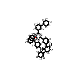 c1ccc(-c2ccc(-n3c4ccccc4c4ccc5oc6ccc(-c7nc(-c8ccccc8)nc(-c8cccc(-c9ccccc9)c8)n7)cc6c5c43)cc2)cc1